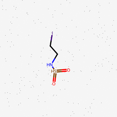 O=[SH](=O)NCCI